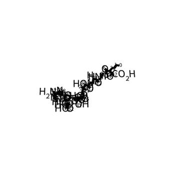 CC=CCC(C(=O)SCCNC(=O)CCNC(=O)[C@H](O)C(C)(C)COP(=O)(O)OP(=O)(O)OC[C@H]1O[C@@H](n2cnc3c(N)ncnc32)[C@H](O)[C@@H]1OP(=O)(O)O)C(O)C(=O)O